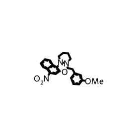 COc1cccc(CC(=O)N2CCCCN2c2ccc([N+](=O)[O-])c3ccccc23)c1